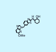 COc1ccc2ncn(Cc3ccc4nc(N[C@@H]5CCCC[C@@H]5O)sc4c3)c2n1